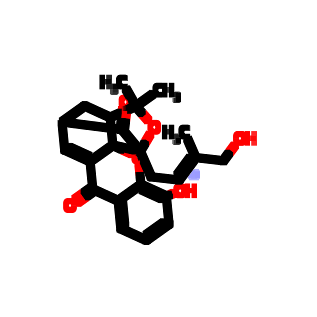 C/C(=C\CC12OC(C)(C)C3CC(C=C4C(=O)c5cccc(O)c5OC431)C2=O)CO